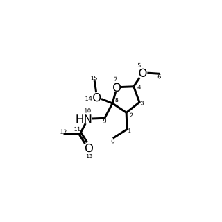 CCC1CC(OC)OC1(CNC(C)=O)OC